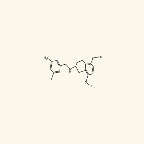 COc1ccc(OC)c2c1CCC(NCc1cc(C)cc(I)c1)C2